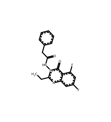 CCc1nc2cc(F)cc(F)c2c(=O)n1NC(=O)Cc1ccccc1